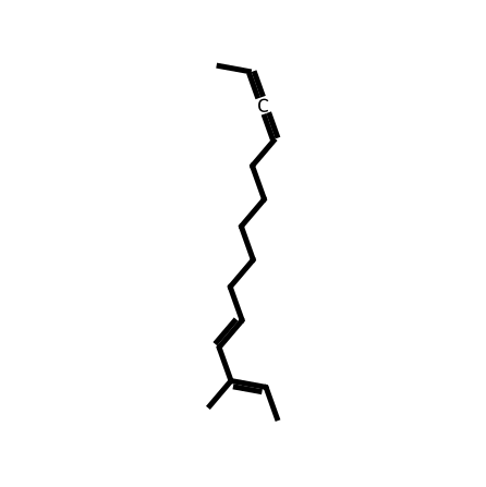 CC=C=CCCCCCC=CC(C)=CC